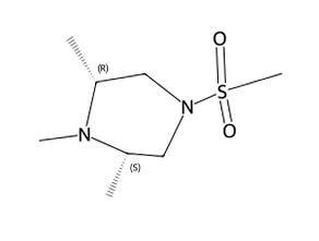 C[C@@H]1CN(S(C)(=O)=O)C[C@H](C)N1C